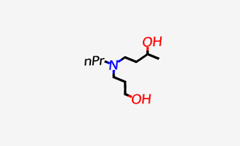 CCCN(CCCO)CCC(C)O